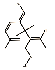 C=C(C)/C=C\C(=C/CCC)C(C)(C)/C(CSCC)=C(/C)CCC